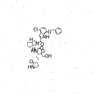 O=C1NCC[C@H]1CC[C@H](NC(=O)[C@@H]1[C@H]2CCC[C@H]2CN1C(=O)c1cc2c(Cl)ccc(OCc3ccccc3)c2[nH]1)C(=O)CO